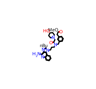 CCCCc1nc2c(N)nc3ccccc3c2n1CCCN(Cc1cccc(CC(=O)OC)c1)C(=O)CN1CCC(O)CC1